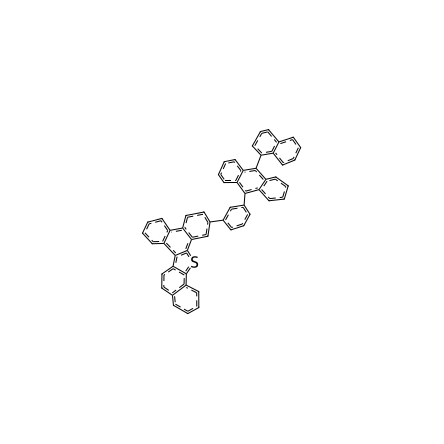 c1cc(-c2ccc3c4ccccc4c4c5ccc6ccccc6c5sc4c3c2)cc(-c2c3ccccc3c(-c3cccc4ccccc34)c3ccccc23)c1